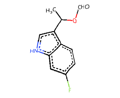 CC(OC=O)c1c[nH]c2cc(F)ccc12